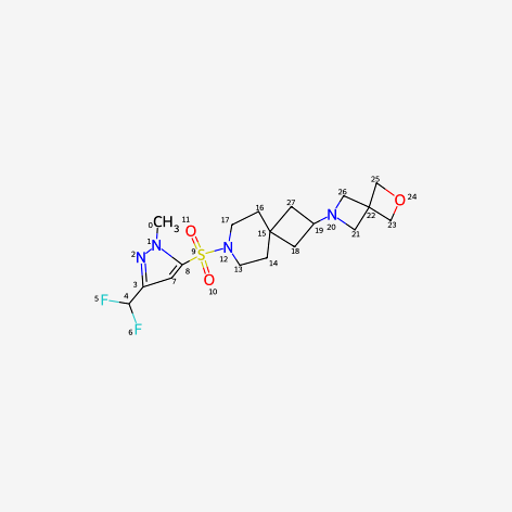 Cn1nc(C(F)F)cc1S(=O)(=O)N1CCC2(CC1)CC(N1CC3(COC3)C1)C2